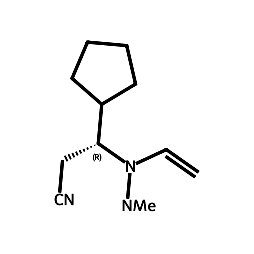 C=CN(NC)[C@H](CC#N)C1CCCC1